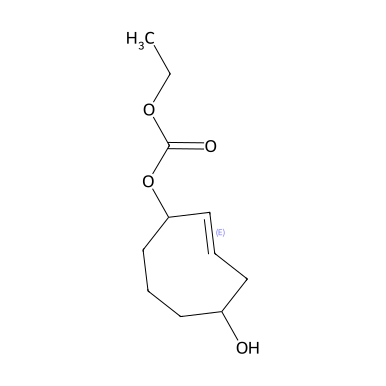 CCOC(=O)OC1/C=C/CC(O)CCC1